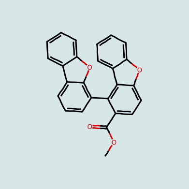 COC(=O)c1ccc2oc3ccccc3c2c1-c1cccc2c1oc1ccccc12